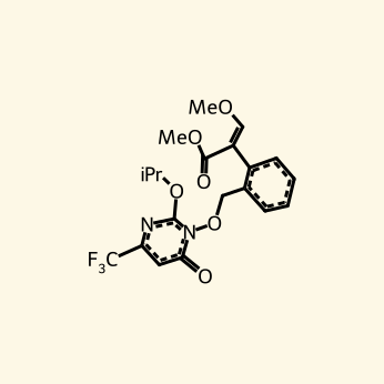 COC=C(C(=O)OC)c1ccccc1COn1c(OC(C)C)nc(C(F)(F)F)cc1=O